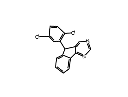 Clc1ccc(Cl)c(C2c3ccccc3-c3ncncc32)c1